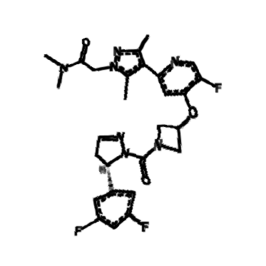 Cc1nn(CC(=O)N(C)C)c(C)c1-c1cc(OC2CN(C(=O)N3N=CC[C@H]3c3cc(F)cc(F)c3)C2)c(F)cn1